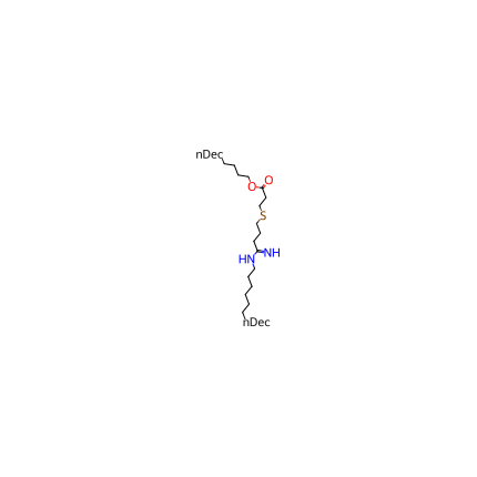 CCCCCCCCCCCCCCCCNC(=N)CCCSCCC(=O)OCCCCCCCCCCCCCC